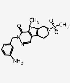 Cn1c2c(c3cnn(Cc4cccc(N)c4)c(=O)c31)CCN(S(C)(=O)=O)C2